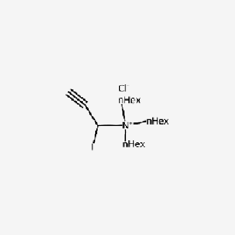 C#CC(I)[N+](CCCCCC)(CCCCCC)CCCCCC.[Cl-]